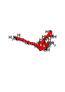 C/C(=N/O)C(C)(C)CCCC(CCNC(=O)CCCC(=O)NCCCC[C@@H]1NC(=O)CSC[C@@H](C(=O)CCCOCCOCCOCCCC(=O)COCC(=O)CCCOCCOCCOCCNC(=O)COCC(N)=O)NC(=O)[C@H](Cc2ccccc2)CC(=O)[C@@H]2CSSC[C@H](NC1=O)C(=O)C[C@@H](CCCNC(=N)N)C(=O)NCC(=O)C[C@@H](CC(=O)O)C(=O)N2)CCNC(C)(C)/C(C)=N\O